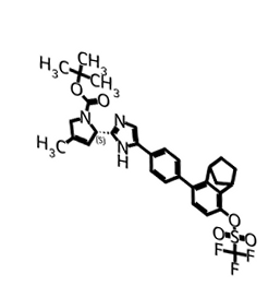 CC1=C[C@@H](c2ncc(-c3ccc(-c4ccc(OS(=O)(=O)C(F)(F)F)c5c4C4CCC5C4)cc3)[nH]2)N(C(=O)OC(C)(C)C)C1